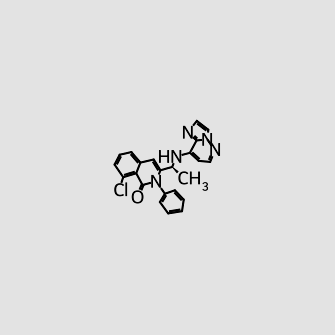 C[C@H](Nc1ccnn2ccnc12)c1cc2cccc(Cl)c2c(=O)n1-c1ccccc1